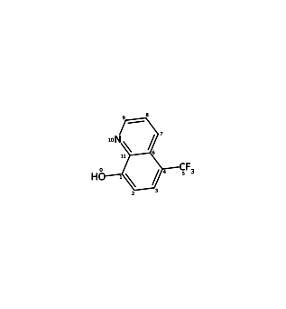 Oc1ccc(C(F)(F)F)c2cccnc12